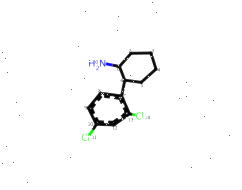 NC1CCCCC1c1ccc(Cl)cc1Cl